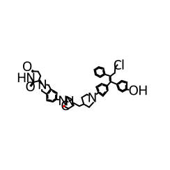 O=C1CCC(N2Cc3ccc(N4CC5CCC4CN5CC4CCN(c5ccc(C(=C(CCCl)c6ccccc6)c6ccc(O)cc6)cc5)CC4)cc3C2)C(=O)N1